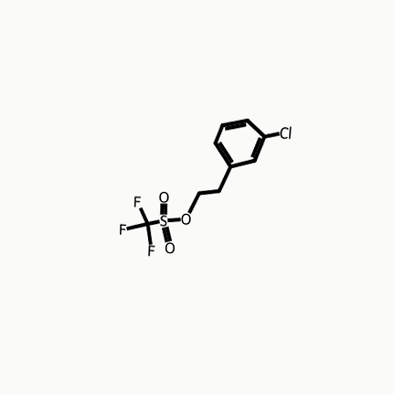 O=S(=O)(OCCc1cccc(Cl)c1)C(F)(F)F